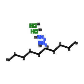 CCCCCCCCCC.Cl.Cl.N.N